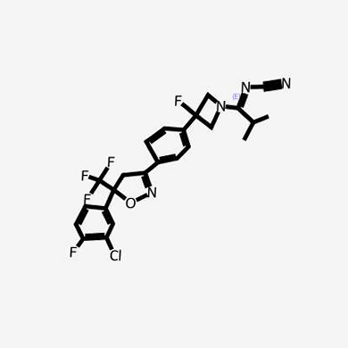 CC(C)/C(=N\C#N)N1CC(F)(c2ccc(C3=NOC(c4ccc(F)c(Cl)c4)(C(F)(F)F)C3)cc2)C1